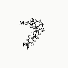 CNS(=O)(=O)c1ccc(F)c(C(=O)N2CCN(c3ccc(C(F)F)cc3)CC2)c1F